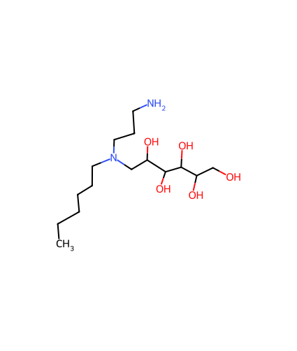 CCCCCCN(CCCN)CC(O)C(O)C(O)C(O)CO